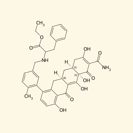 CCOC(=O)C(Cc1ccccc1)NCc1ccc(C)c(-c2ccc(O)c3c2C[C@H]2C[C@H]4CC(O)=C(C(N)=O)C(=O)[C@@]4(O)C(O)=C2C3=O)c1